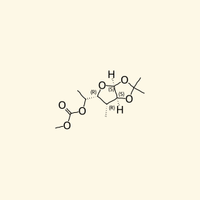 COC(=O)OC(C)[C@@H]1O[C@H]2OC(C)(C)O[C@H]2[C@@H]1C